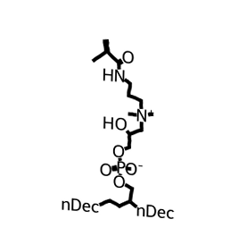 C=C(C)C(=O)NCCC[N+](C)(C)CC(O)COP(=O)([O-])OCC(CCCCCCCCCC)CCCCCCCCCCCC